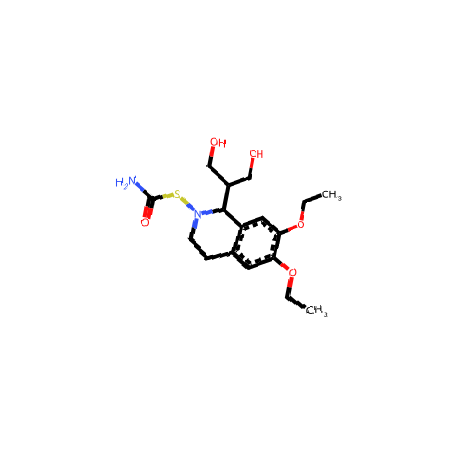 CCOc1cc2c(cc1OCC)C(C(CO)CO)N(SC(N)=O)CC2